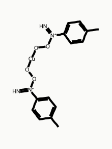 Cc1ccc([N+](=N)O[O][Cu][O]O[N+](=N)c2ccc(C)cc2)cc1